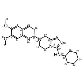 COc1cc2c(cc1OC)=NC(N1CCn3c(cnc3NC3CCCCC3)C1)CC=2